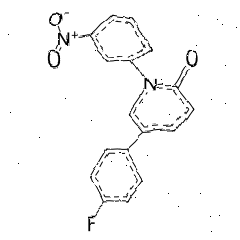 O=c1ccc(-c2ccc(F)cc2)cn1-c1cccc([N+](=O)[O-])c1